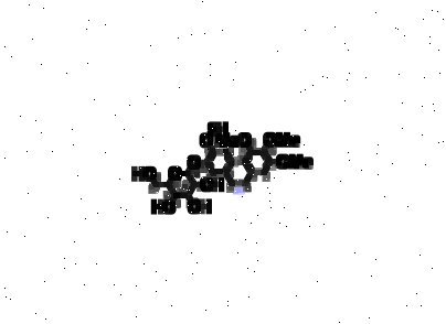 COc1cc(/C=C\c2ccc(OS)c(OC3OC(CO)C(O)C(O)C3O)c2)cc(OC)c1OC